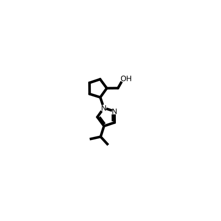 CC(C)c1cnn(C2CCCC2CO)c1